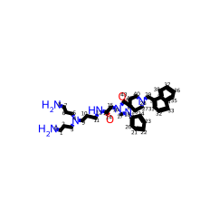 NCCCN(CCCN)CCCNC(=O)CN1CN(c2ccccc2)C2(CCN(Cc3cccc4ccccc34)CC2)C1=O